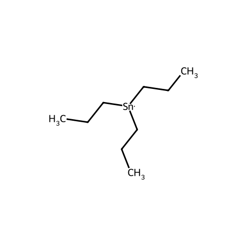 CC[CH2][Sn]([CH2]CC)[CH2]CC